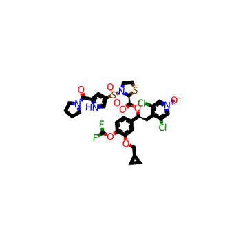 O=C(O[C@@H](Cc1c(Cl)c[n+]([O-])cc1Cl)c1ccc(OC(F)F)c(OCC2CC2)c1)[C@@H]1SCCN1S(=O)(=O)c1c[nH]c(C(=O)N2CCCC2)c1